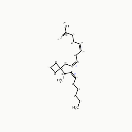 CCCCC/C=C\[C@H](C)C1(C/C=C\C/C=C\CCC(=O)O)CCC1